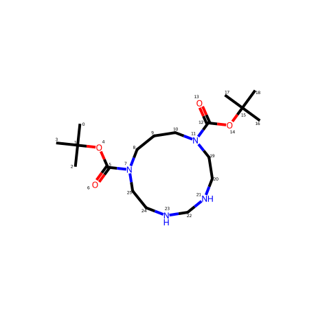 CC(C)(C)OC(=O)N1CCCN(C(=O)OC(C)(C)C)CCNCNCC1